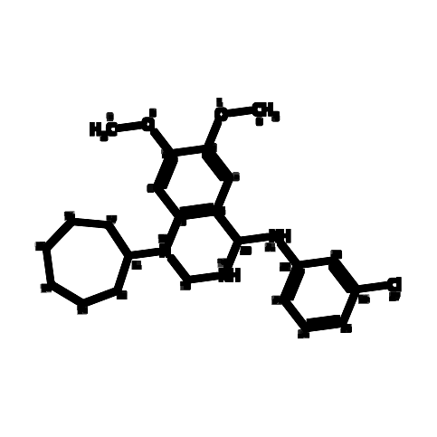 COc1cc2c(cc1OC)N(C1CCCCCC1)CNC2Nc1cccc(Cl)c1